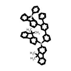 CC1(C)c2ccccc2-c2ccc(N(c3cccc(-c4ccc(-c5ccccc5)c(-c5ccc6c7ccccc7n(-c7ccccc7)c6c5)c4)c3)c3ccc4c(c3)C(C)(C)c3ccccc3-4)cc21